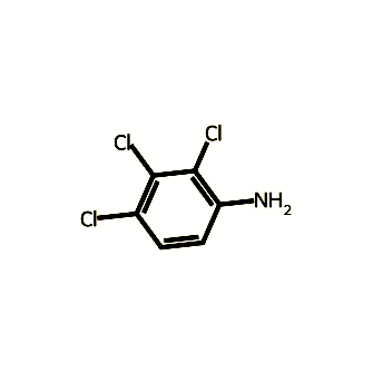 Nc1ccc(Cl)c(Cl)c1Cl